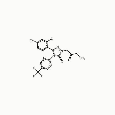 CCC(=O)Cn1nc(-c2ccc(Cl)cc2Cl)n(-c2ccc(C(F)(F)F)cn2)c1=O